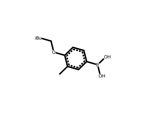 CCC(C)COc1ccc(B(O)O)cc1C